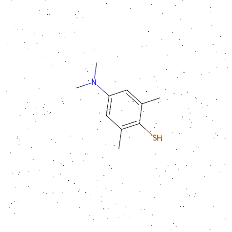 Cc1cc(N(C)C)cc(C)c1S